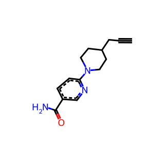 C#CCC1CCN(c2ccc(C(N)=O)cn2)CC1